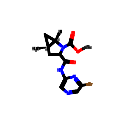 CC(C)(C)OC(=O)N1C(C(=O)Nc2cncc(Br)n2)C[C@@]2(C)C[C@H]12